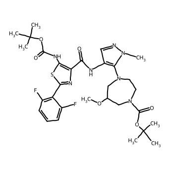 COC1CN(C(=O)OC(C)(C)C)CCN(c2c(NC(=O)c3nc(-c4c(F)cccc4F)sc3NC(=O)OC(C)(C)C)cnn2C)C1